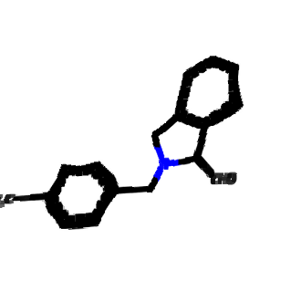 O=CC1c2ccccc2CN1Cc1ccc(C(F)(F)F)cc1